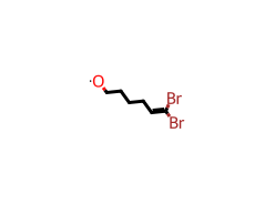 [O]CCCCC=C(Br)Br